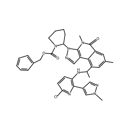 Cc1cc(C(C)Nc2ccc(Cl)nc2-c2cnn(C)c2)c2c(c1)c(=O)n(C)c1c2cnn1C1CCCCN1C(=O)OCc1ccccc1